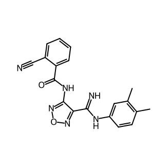 Cc1ccc(NC(=N)c2nonc2NC(=O)c2ccccc2C#N)cc1C